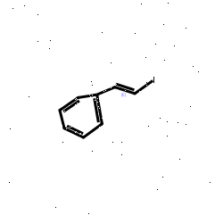 I/C=C/c1ccccc1